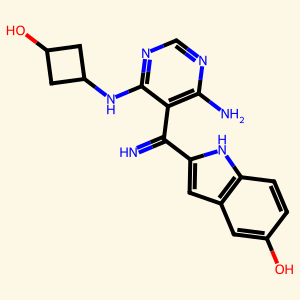 N=C(c1cc2cc(O)ccc2[nH]1)c1c(N)ncnc1NC1CC(O)C1